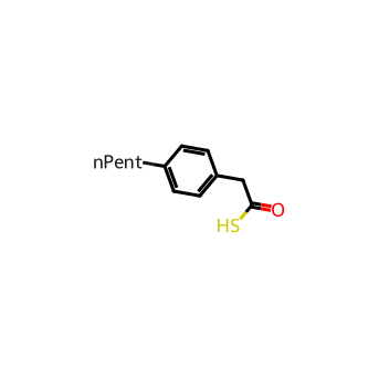 CCCCCc1ccc(CC(=O)S)cc1